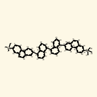 C[Si](C)(C)c1ccc2c(ccc3cc(-c4cccc5c(-c6cccc7c(-c8ccc9c(ccc%10cc([Si](C)(C)C)ccc%109)c8)cccc67)cccc45)ccc32)c1